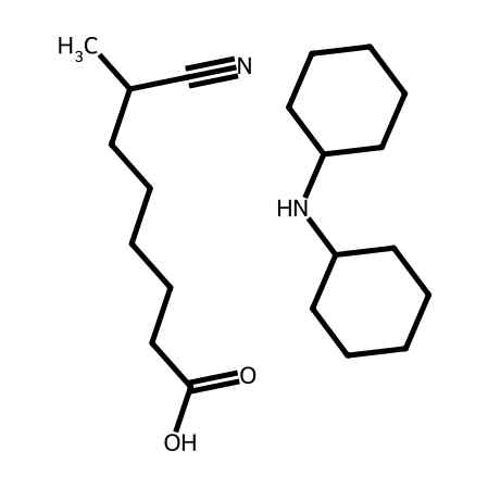 C1CCC(NC2CCCCC2)CC1.CC(C#N)CCCCCC(=O)O